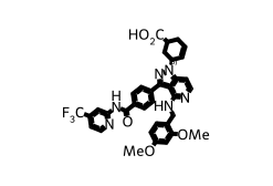 COc1ccc(CNc2nccc3c2c(-c2ccc(C(=O)Nc4cc(C(F)(F)F)ccn4)cc2)nn3[C@@H]2C=CCC(C(=O)O)C2)c(OC)c1